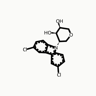 O[C@H]1[C@@H](O)COC[C@@H]1n1c2ccc(Cl)cc2c2cc(Cl)ccc21